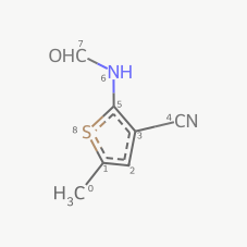 Cc1cc(C#N)c(NC=O)s1